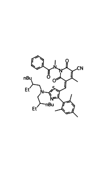 CCCCC(CC)CN(CC(CC)CCCC)c1nc(-c2c(C)cc(C)cc2C)c(/C=C2\C(=O)N(N(C)C(=O)c3ccccc3)C(=O)C(C#N)=C2C)s1